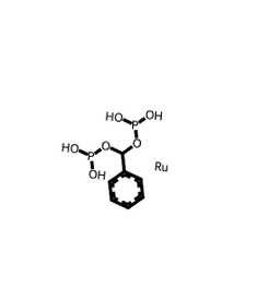 OP(O)OC(OP(O)O)c1ccccc1.[Ru]